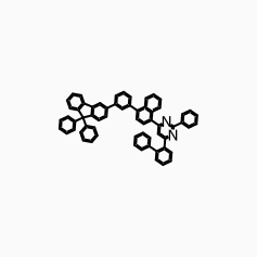 c1ccc(-c2nc(-c3ccccc3-c3ccccc3)cc(-c3ccc(-c4cccc(-c5ccc6c(c5)-c5ccccc5C6(c5ccccc5)c5ccccc5)c4)c4ccccc34)n2)cc1